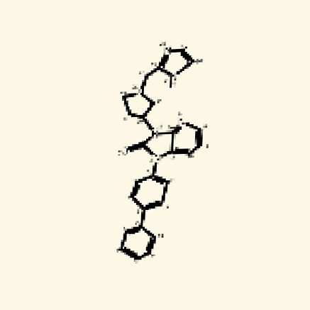 O=c1n(-c2ccc(-c3ccccc3)cc2)c2cccnc2n1C1CCN(Cc2ncc[nH]2)C1